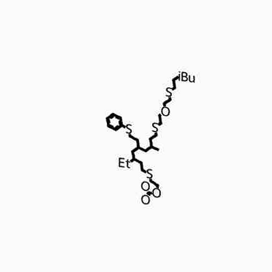 CCC(C)CCSCCOCCSCCC(C)CC(CCSc1ccccc1)CC(CC)CCSC1COC(=O)O1